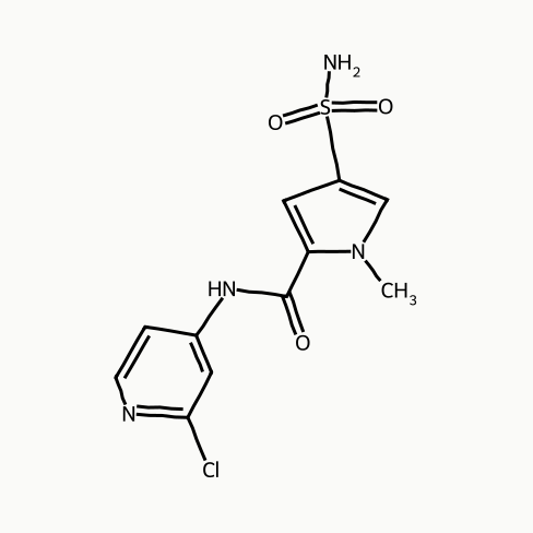 Cn1cc(S(N)(=O)=O)cc1C(=O)Nc1ccnc(Cl)c1